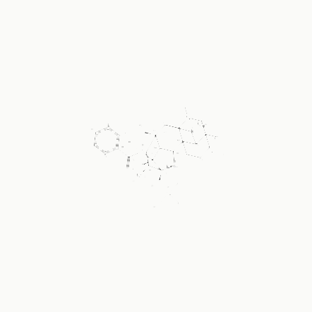 CCN1CC2(CC)C3C(OC)C4C1C3([C@@H](OC)C[C@H]2C)[C@H]1C[C@@]2(O[Si](C)(C)C(C)(C)C)[C@H](OC(=O)c3ccccc3)C1[C@]4(CC)[C@@H](O)[C@@H]2OC